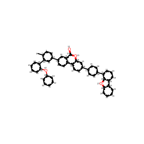 Cc1ccc(-c2ccc3c(c2)c(=O)oc2cc(-c4ccc(-c5cccc6c5oc5ccccc56)cc4)ccc23)cc1-c1ccccc1Oc1ccccc1